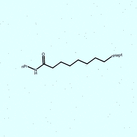 CCCCCCCCCCCCCCC(=O)NCCC